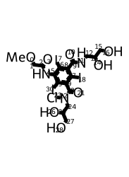 COCC(=O)Nc1c(I)c(C(=O)NCC(O)CO)c(I)c(C(=O)N(Cl)CC(O)CO)c1I